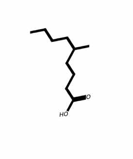 CC[CH]CC(C)CCCC(=O)O